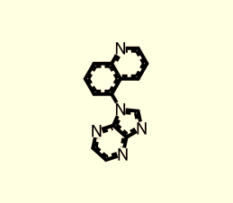 c1cc(-n2cnc3nccnc32)c2cccnc2c1